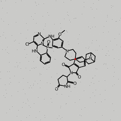 COc1cc(N2CCC(CN3CC4CC(C3)N4c3ccc4c(c3)C(=O)N(C3CCC(=O)NC3=O)C4=O)CC2)ccc1Nc1ncc(Cl)c(Nc2ccccc2P(C)(C)=O)n1